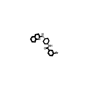 O=C(N[C@H]1CC[C@@H](Nc2ccc3ccccc3n2)CC1)c1cccc(Br)c1